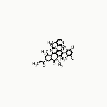 C=CC(=O)N1CC(C)N2c3nc(=O)n(-c4c(C)ccnc4C(C)C)c4c(Cl)c(-c5c(N)c(Cl)cc(Cl)c5F)c(F)c(c34)N(C)C(=O)C2C1